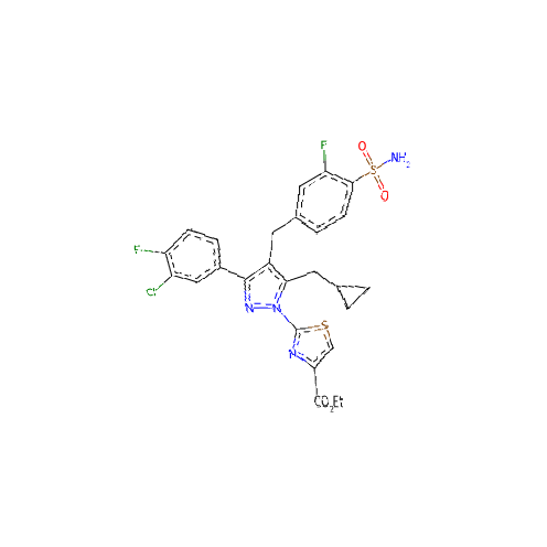 CCOC(=O)c1csc(-n2nc(-c3ccc(F)c(Cl)c3)c(Cc3ccc(S(N)(=O)=O)c(F)c3)c2CC2CC2)n1